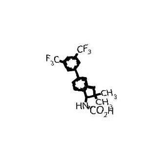 CC1(C)Cc2cc(-c3cc(C(F)(F)F)cc(C(F)(F)F)c3)ccc2C1NC(=O)O